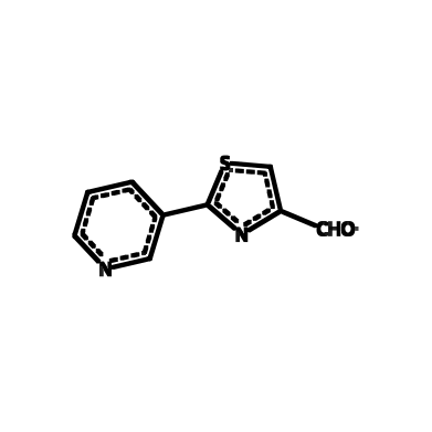 O=[C]c1csc(-c2cccnc2)n1